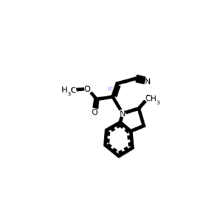 COC(=O)/C(=C/C#N)N1c2ccccc2CC1C